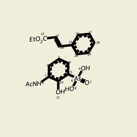 CC(=O)Nc1cccc([As](=O)(O)O)c1O.CCOC(=O)C=Cc1ccccc1